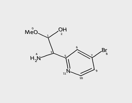 COC(O)C(N)c1cc(Br)ccn1